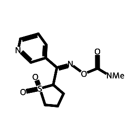 CNC(=O)ON=C(c1cccnc1)C1CCCS1(=O)=O